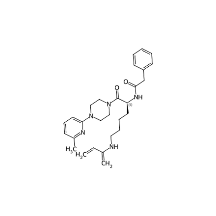 C=CC(=C)NCCCC[C@H](NC(=O)Cc1ccccc1)C(=O)N1CCN(c2cccc(C)n2)CC1